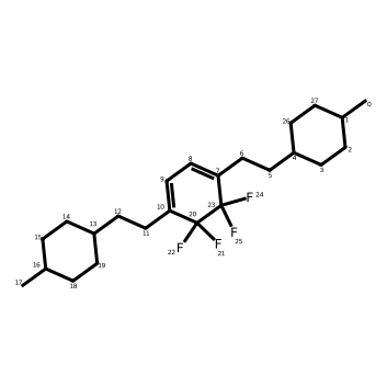 CC1CCC(CCC2=CC=C(CCC3CCC(C)CC3)C(F)(F)C2(F)F)CC1